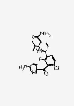 CC[C@@H](N[C@H](CC(N)=O)C(C)C)c1ccc(Cl)c(C(=O)c2ccc(N)nc2)c1F